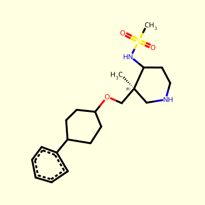 C[C@@]1(COC2CCC(c3ccccc3)CC2)CNCCC1NS(C)(=O)=O